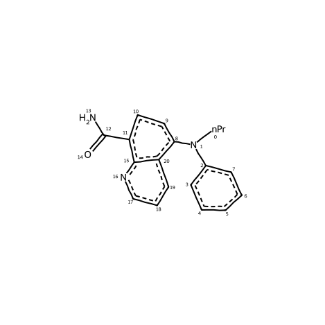 CCCN(c1ccccc1)c1ccc(C(N)=O)c2ncccc12